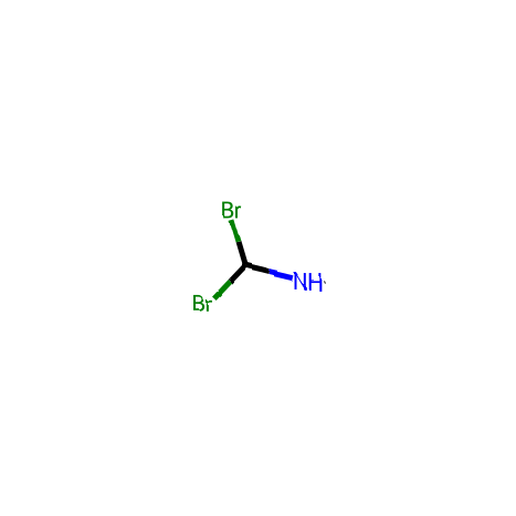 [NH]C(Br)Br